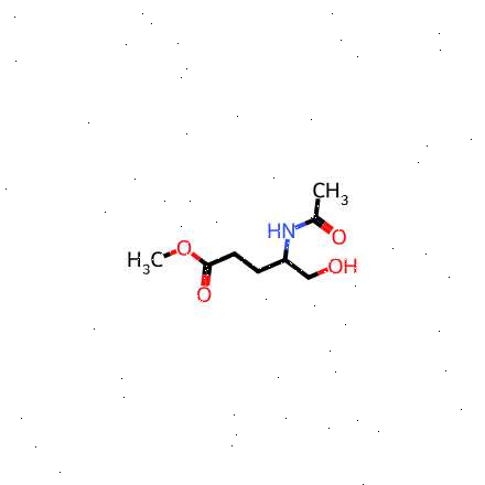 COC(=O)CCC(CO)NC(C)=O